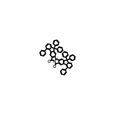 O=c1c2cc3c(cc2n2c4cc5c(cc4c(=O)n12)-c1c(-c2ccccc2)cccc1C5(c1ccccc1)c1ccccc1)C(c1ccccc1)(c1ccccc1)c1cccc(-c2ccccc2)c1-3